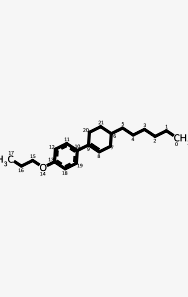 CCCCCCC1CC=C(c2ccc(OCCC)cc2)CC1